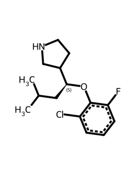 CC(C)C[C@H](Oc1c(F)cccc1Cl)C1CCNC1